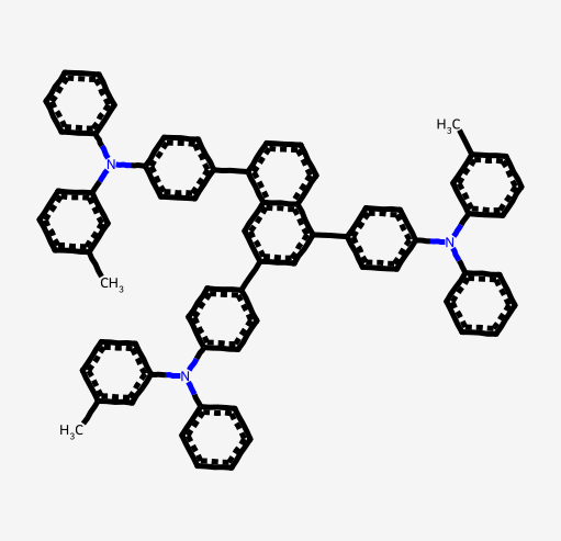 Cc1cccc(N(c2ccccc2)c2ccc(-c3cc(-c4ccc(N(c5ccccc5)c5cccc(C)c5)cc4)c4cccc(-c5ccc(N(c6ccccc6)c6cccc(C)c6)cc5)c4c3)cc2)c1